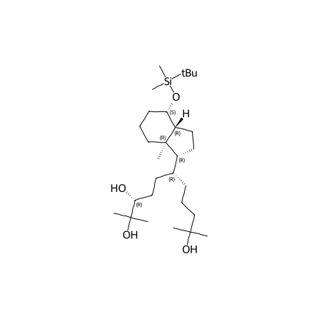 CC(C)(O)CCC[C@H](CC[C@@H](O)C(C)(C)O)[C@H]1CC[C@H]2[C@@H](O[Si](C)(C)C(C)(C)C)CCC[C@]12C